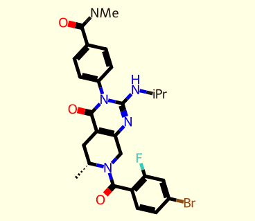 CNC(=O)c1ccc(-n2c(NC(C)C)nc3c(c2=O)C[C@@H](C)N(C(=O)c2ccc(Br)cc2F)C3)cc1